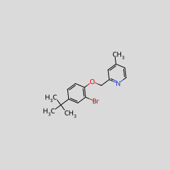 Cc1ccnc(COc2ccc(C(C)(C)C)cc2Br)c1